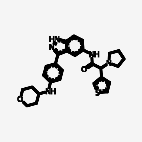 O=C(Nc1ccc2[nH]nc(-c3ccc(NC4CCOCC4)cc3)c2c1)C(c1ccsc1)N1CCCC1